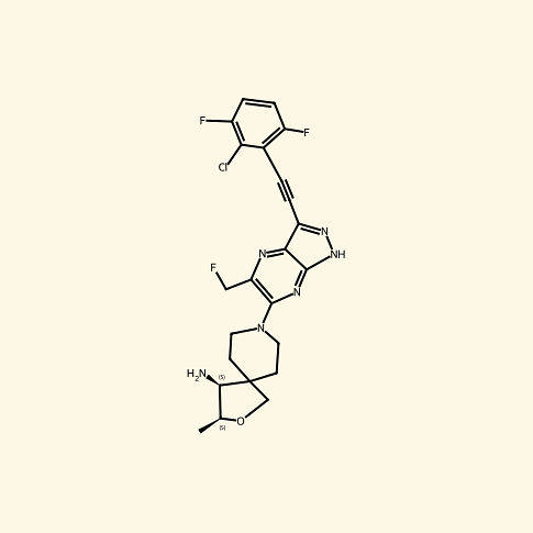 C[C@@H]1OCC2(CCN(c3nc4[nH]nc(C#Cc5c(F)ccc(F)c5Cl)c4nc3CF)CC2)[C@@H]1N